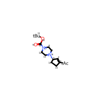 CC(=O)C1=C[C@H](N2CCN(C(=O)OC(C)(C)C)CC2)CC1